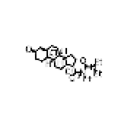 CCN(CC)C(=O)N(CC)C(=O)[C@H]1CC[C@H]2[C@@H]3CCC4=CC(=O)CC[C@]4(C)[C@H]3CC[C@]12C